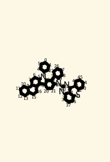 c1ccc(-n2c3ccc4c5ccccc5ccc4c3c3ccc4c(c5ccccc5n4-c4nc5c6c(cccc6n4)Sc4ccccc4-5)c32)cc1